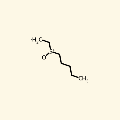 [CH2]C[S+]([O-])CCCCC